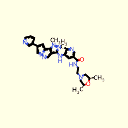 Cc1ncc(C(=O)NCCN2C[C@@H](C)O[C@H](C)C2)cc1Nc1nn(C)c2c1cnn1cc(-c3cccnc3)cc21